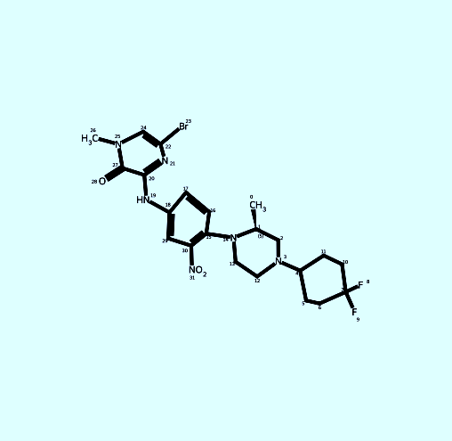 C[C@H]1CN(C2CCC(F)(F)CC2)CCN1c1ccc(Nc2nc(Br)cn(C)c2=O)cc1[N+](=O)[O-]